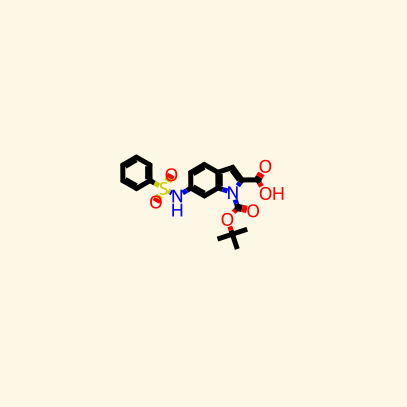 CC(C)(C)OC(=O)n1c(C(=O)O)cc2ccc(NS(=O)(=O)c3ccccc3)cc21